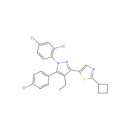 CCc1c(-c2cnc(C3CCC3)s2)nn(-c2ccc(Cl)cc2Cl)c1-c1ccc(Cl)cc1